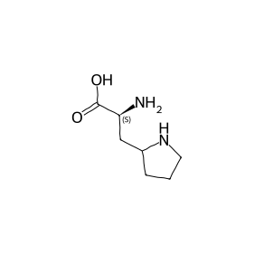 N[C@@H](CC1CCCN1)C(=O)O